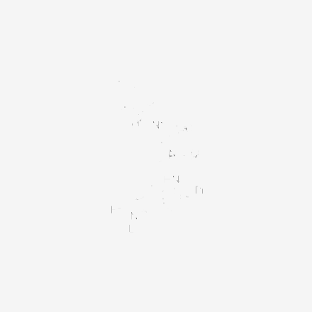 CCN(CC)c1ccc(C(=O)NC(CC(C)C)C(=O)N2CCC3C2C(=O)CN3C(=O)CC2CCCC2)cc1